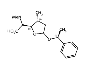 CNC(C(=O)O)[C@@H]1OC(O[C@@H](C)c2ccccc2)C[C@H]1C